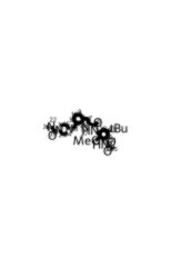 COc1c(NC(=O)c2cc3cccc(CN4CCN(C(=O)N(C)C)CC4)c3n2C)cc(C(C)(C)C)cc1NS(C)(=O)=O